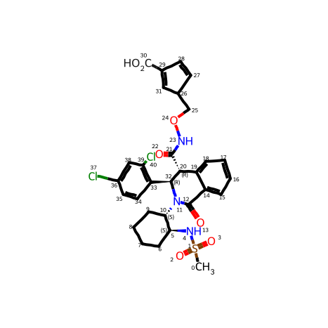 CS(=O)(=O)N[C@H]1CCCC[C@@H]1N1C(=O)c2ccccc2[C@@H](C(=O)NOCC2C=CC(C(=O)O)=C2)[C@@H]1c1ccc(Cl)cc1Cl